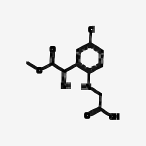 COC(=O)C(=N)c1cc(Cl)ccc1NCC(=O)O